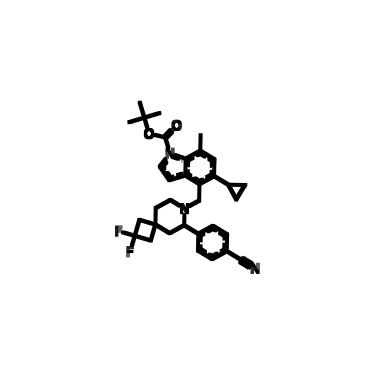 Cc1cc(C2CC2)c(CN2CCC3(CC2c2ccc(C#N)cc2)CC(F)(F)C3)c2ccn(C(=O)OC(C)(C)C)c12